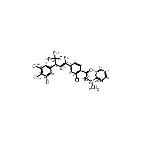 CN(NC(=O)c1ccc(/C(F)=C/C(c2cc(Cl)c(Cl)c(Cl)c2)C(F)(F)F)cc1Cl)c1ncccn1